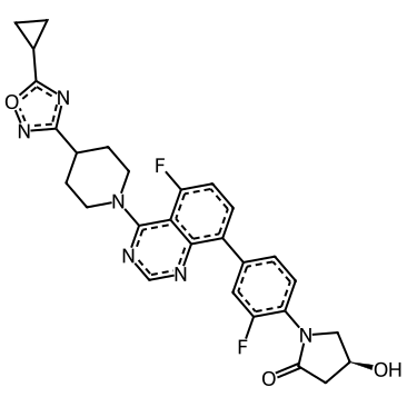 O=C1C[C@H](O)CN1c1ccc(-c2ccc(F)c3c(N4CCC(c5noc(C6CC6)n5)CC4)ncnc23)cc1F